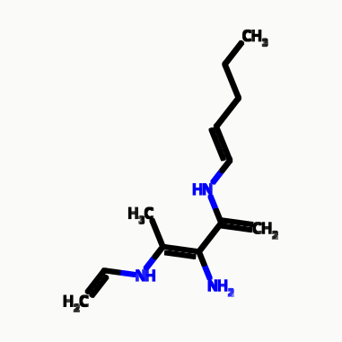 C=CN/C(C)=C(\N)C(=C)N/C=C/CCC